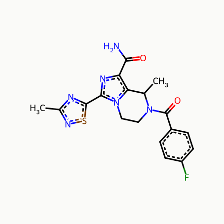 Cc1nsc(-c2nc(C(N)=O)c3n2CCN(C(=O)c2ccc(F)cc2)C3C)n1